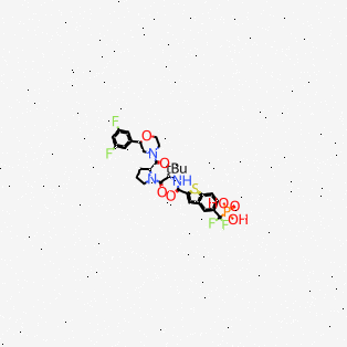 CC(C)(C)C(NC(=O)c1cc2cc(C(F)(F)P(=O)(O)O)ccc2s1)C(=O)N1CCC[C@H]1C(=O)N1CCOC(c2cc(F)cc(F)c2)C1